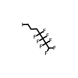 FC(F)C(F)(F)C(F)(F)C(F)(F)CCCI